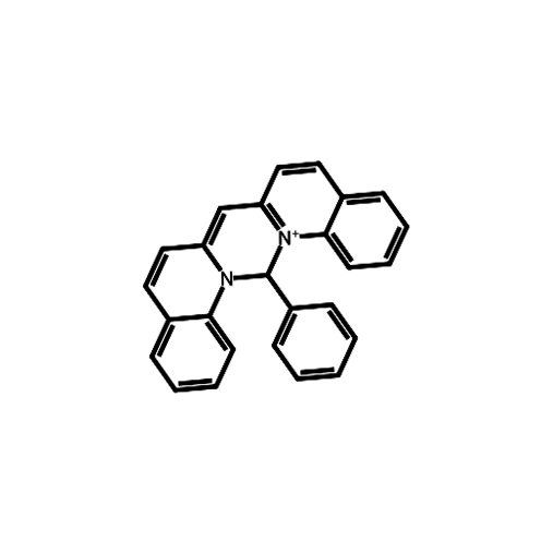 C1=Cc2ccccc2N2C1=Cc1ccc3ccccc3[n+]1C2c1ccccc1